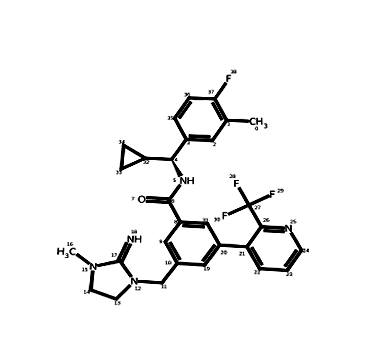 Cc1cc([C@@H](NC(=O)c2cc(CN3CCN(C)C3=N)cc(-c3cccnc3C(F)(F)F)c2)C2CC2)ccc1F